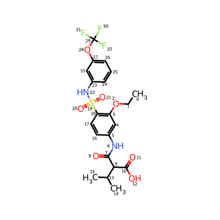 CCOc1cc(NC(=O)C(C(=O)O)C(C)C)ccc1S(=O)(=O)Nc1cccc(OC(F)(F)F)c1